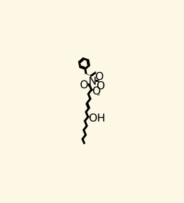 CCCCCCC(O)C/C=C/CCC(OC)C(=O)N1C(=O)OC[C@H]1Cc1ccccc1